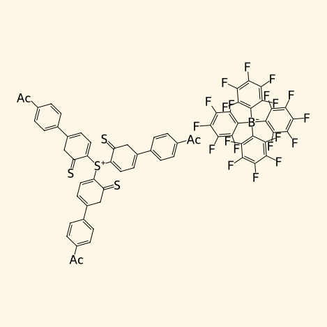 CC(=O)c1ccc(C2=CC=C([S+](C3=CC=C(c4ccc(C(C)=O)cc4)CC3=S)C3=CC=C(c4ccc(C(C)=O)cc4)CC3=S)C(=S)C2)cc1.Fc1c(F)c(F)c([B-](c2c(F)c(F)c(F)c(F)c2F)(c2c(F)c(F)c(F)c(F)c2F)c2c(F)c(F)c(F)c(F)c2F)c(F)c1F